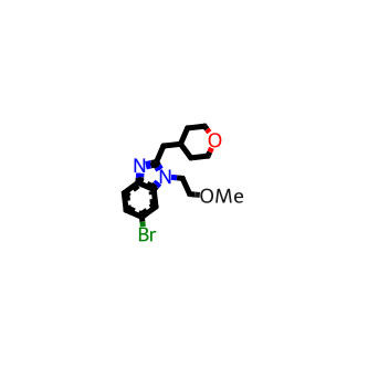 COCCn1c(CC2CCOCC2)nc2ccc(Br)cc21